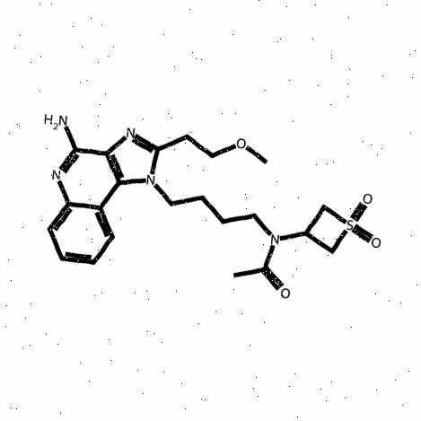 COCCc1nc2c(N)nc3ccccc3c2n1CCCCN(C(C)=O)C1CS(=O)(=O)C1